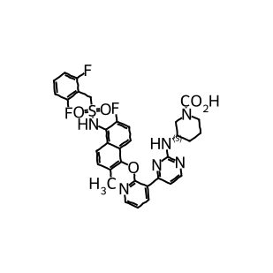 Cc1ccc2c(NS(=O)(=O)Cc3c(F)cccc3F)c(F)ccc2c1Oc1ncccc1-c1ccnc(N[C@H]2CCCN(C(=O)O)C2)n1